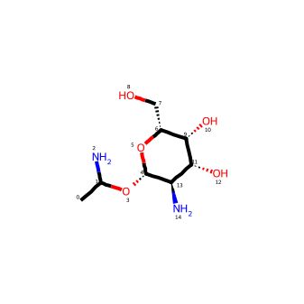 CC(N)O[C@@H]1O[C@H](CO)[C@H](O)[C@H](O)[C@H]1N